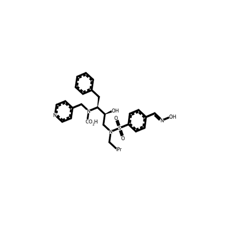 CC(C)CN(C[C@H](O)[C@H](Cc1ccccc1)N(Cc1ccncc1)C(=O)O)S(=O)(=O)c1ccc(C=NO)cc1